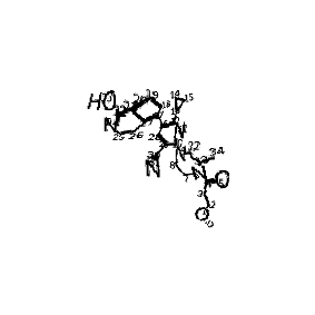 COCCC(=O)N1CCN(c2nc(C3CC3)c(-c3cccc4c(O)nccc34)cc2C#N)CC1C